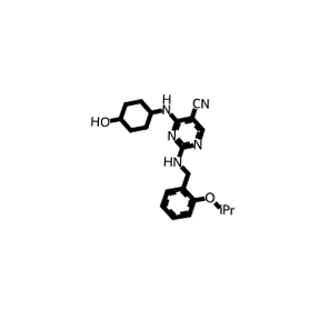 CC(C)Oc1ccccc1CNc1ncc(C#N)c(NC2CCC(O)CC2)n1